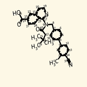 Cc1cc(-c2ccc(CN(C(=O)CC(C)(C)C)c3nccc4cc(C(=O)O)ccc34)cc2)ccc1C#N